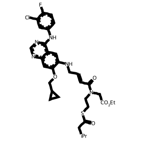 CCOC(=O)CN(CCSC(=O)CC(C)C)C(=O)C=CCNc1cc2c(Nc3ccc(F)c(Cl)c3)ncnc2cc1OCC1CC1